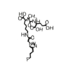 CN(C(=O)NC(CCC(=O)O)C(=O)O)C(CCCCNC(=O)Cn1cc(CCCF)nn1)C(=O)O